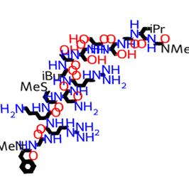 CCC(C)C(NC(=O)C(CCCNC(=N)N)NC(=O)C(CC(N)=O)NC(=O)C(CCSC)NC(=O)C(CCCCN)NC(=O)C(CCCNC(=N)N)NC(=O)CNC(=O)C(Cc1ccccc1)NC)C(=O)NC(CO)C(=O)NC(CO)C(=O)NC(CO)C(=O)NC(CO)C(=O)NCC(=O)NC(CC(C)C)C(=O)NCC(=O)NC